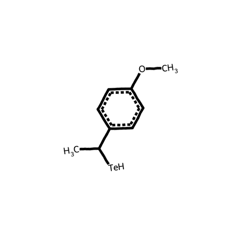 COc1ccc(C(C)[TeH])cc1